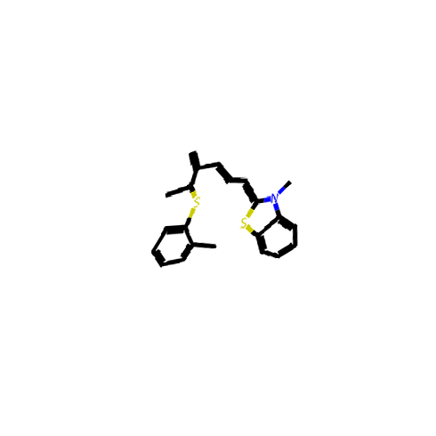 C=C(/C=C/C=C1\Sc2ccccc2N1C)C(C)Sc1ccccc1C